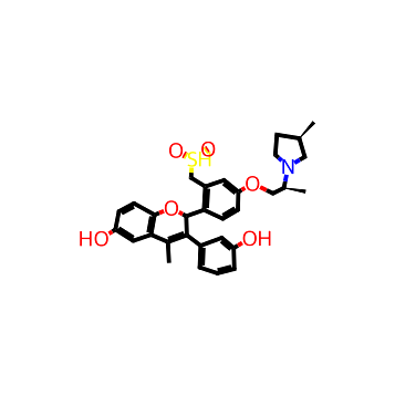 CC1=C(c2cccc(O)c2)C(c2ccc(OC[C@H](C)N3CC[C@@H](C)C3)cc2C[SH](=O)=O)Oc2ccc(O)cc21